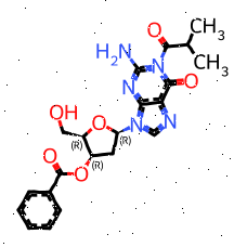 CC(C)C(=O)n1c(N)nc2c(ncn2[C@H]2C[C@@H](OC(=O)c3ccccc3)[C@@H](CO)O2)c1=O